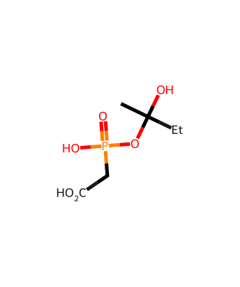 CCC(C)(O)OP(=O)(O)CC(=O)O